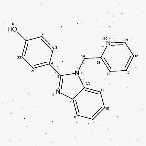 Oc1ccc(-c2nc3ccccc3n2Cc2ccccn2)cc1